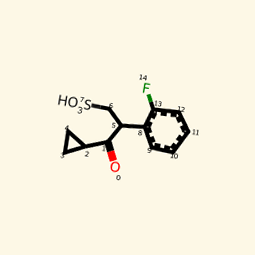 O=C(C1CC1)C(CS(=O)(=O)O)c1ccccc1F